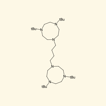 CC(C)(C)N1CCN(CCCCN2CCN(C(C)(C)C)CCN(C(C)(C)C)CC2)CCN(C(C)(C)C)CC1